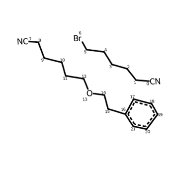 N#CCCCCCBr.N#CCCCCCOCCc1ccccc1